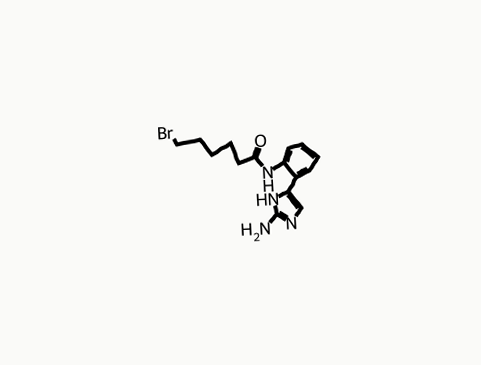 Nc1ncc(-c2ccccc2NC(=O)CCCCCBr)[nH]1